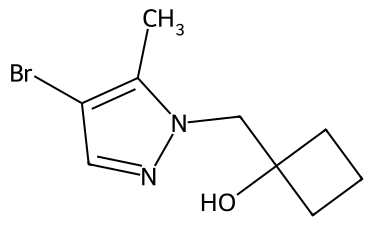 Cc1c(Br)cnn1CC1(O)CCC1